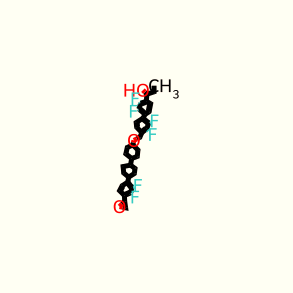 CCC(O)c1ccc(-c2ccc(COC3CCC(C4CCC(c5ccc(C6CO6)c(F)c5F)CC4)CC3)c(F)c2F)c(F)c1F